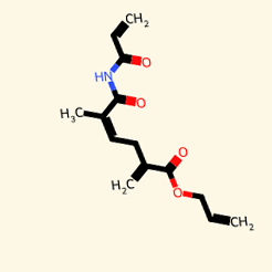 C=CCOC(=O)C(=C)CC=C(C)C(=O)NC(=O)C=C